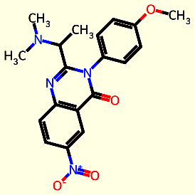 COc1ccc(-n2c(C(C)N(C)C)nc3ccc([N+](=O)[O-])cc3c2=O)cc1